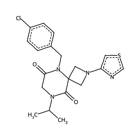 CC(C)N1CC(=O)N(Cc2ccc(Cl)cc2)C2(CN(c3cscn3)C2)C1=O